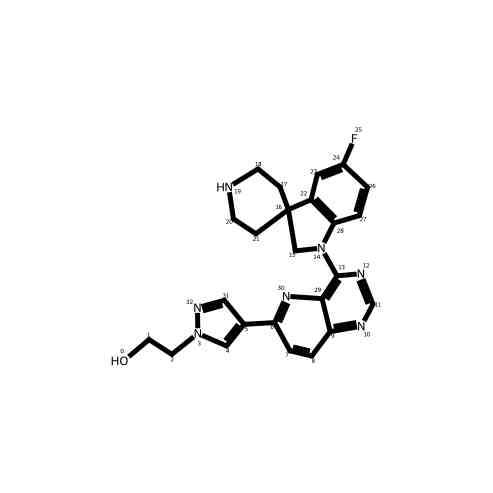 OCCn1cc(-c2ccc3ncnc(N4CC5(CCNCC5)c5cc(F)ccc54)c3n2)cn1